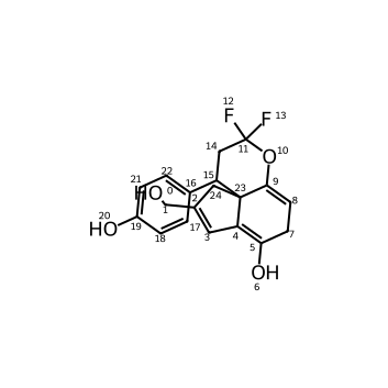 OCC1=CC2=C(O)CC=C3OC(F)(F)CC(c4ccc(O)cc4)C32C1